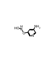 Nc1cncc(OBO)c1